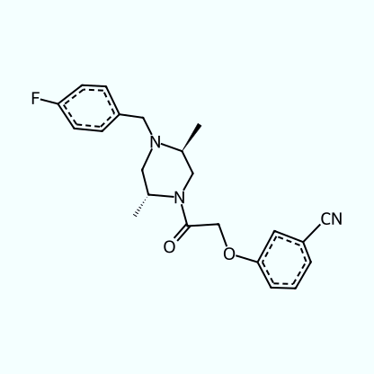 C[C@@H]1CN(Cc2ccc(F)cc2)[C@@H](C)CN1C(=O)COc1cccc(C#N)c1